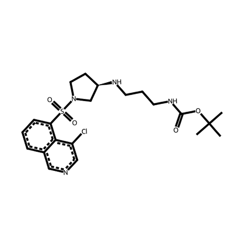 CC(C)(C)OC(=O)NCCCN[C@@H]1CCN(S(=O)(=O)c2cccc3cncc(Cl)c23)C1